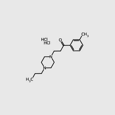 CCCN1CCN(CCC(=O)c2cccc(C)c2)CC1.Cl.Cl